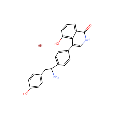 Br.NC(Cc1ccc(O)cc1)c1ccc(-c2c[nH]c(=O)c3cccc(O)c23)cc1